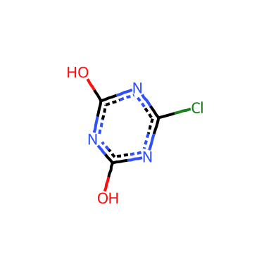 Oc1nc(O)nc(Cl)n1